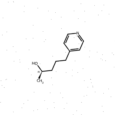 C[C@@H](O)CCCc1ccncc1